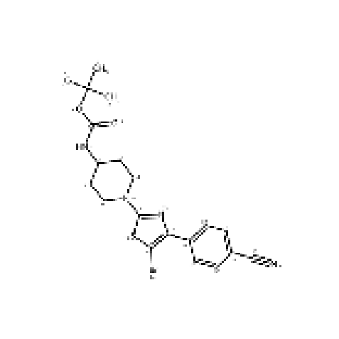 CC(C)(C)OC(=O)NC1CCN(c2nc(-c3ccc(C#N)cc3)c(Br)s2)CC1